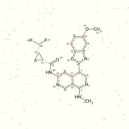 CNc1ncc(-c2nc3cc(OC)ccc3o2)c2cc(NC(=O)[C@@H]3C[C@@H]3C(F)F)ncc12